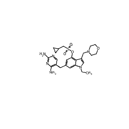 CCn1cc(CN2CCOCC2)c2c(OS(=O)(=O)CC3CC3)cc(Cc3cnc(N)nc3N)cc21